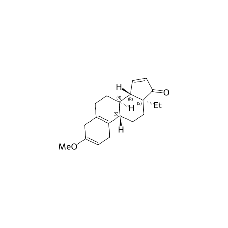 CC[C@]12CC[C@@H]3C4=C(CC[C@H]3[C@@H]1C=CC2=O)CC(OC)=CC4